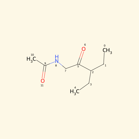 CCC(CC)C(=O)CNC(C)=O